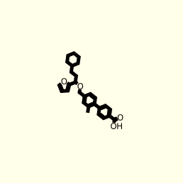 Cc1cc(COC(CCC2CCCCC2)c2ccco2)ccc1-c1ccc(C(=O)O)cc1